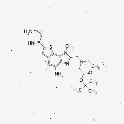 CCN(CC(=O)OC(C)(C)C)Cc1nc2c(N)nc3cc(C(=N)/C=C\N)sc3c2n1C